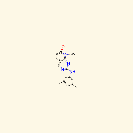 CCCn1c(=O)ccc2cnc(Nc3cc(C)cc(C)c3)nc21